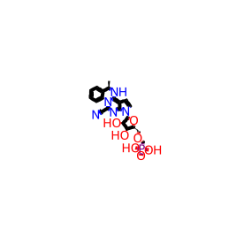 C[C@@H](Nc1nc(C#N)nc2c1ccn2[C@@H]1O[C@H](COCP(=O)(O)O)[C@@H](O)[C@H]1O)c1ccccc1